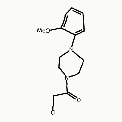 COc1ccccc1N1CCN(C(=O)CCl)CC1